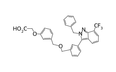 O=C(O)COc1cccc(COCc2cccc(-c3c4cccc(C(F)(F)F)c4nn3Cc3ccccc3)c2)c1